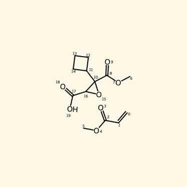 C=CC(=O)OC.COC(=O)C1(C2CCC2)OC1C(=O)O